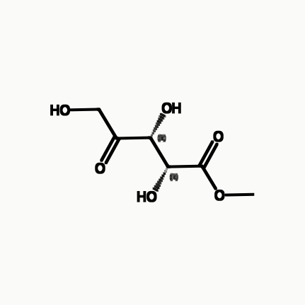 COC(=O)[C@H](O)[C@@H](O)C(=O)CO